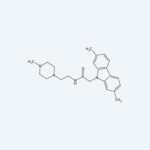 Cc1ccc2c3ccc(C)cc3n(CC(=O)NCCN3CCN(C)CC3)c2c1